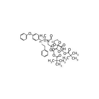 C[C@H]([C@H](CCc1ccccc1)c1ccc(Oc2ccccc2)cc1)N(CC(=O)OCOC(=O)C(C)(C)C)C(=O)[C@@H]1CO[C@](C(=O)O)(C(=O)OCOC(=O)C(C)(C)C)O1